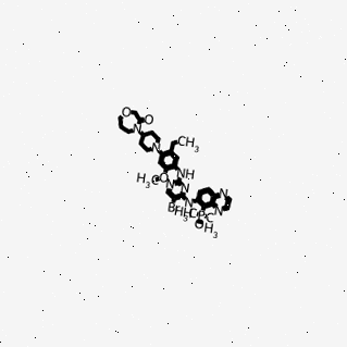 CCc1cc(Nc2ncc(Br)c(Nc3ccc4nccnc4c3P(C)(C)=O)n2)c(OC)cc1N1CCC(N2CCCOCC2=O)CC1